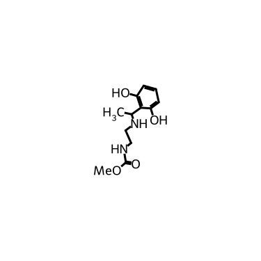 COC(=O)NCCNC(C)c1c(O)cccc1O